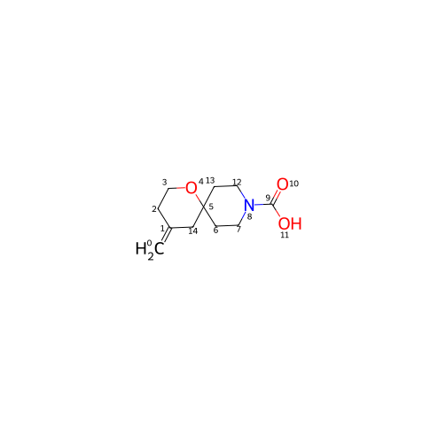 C=C1CCOC2(CCN(C(=O)O)CC2)C1